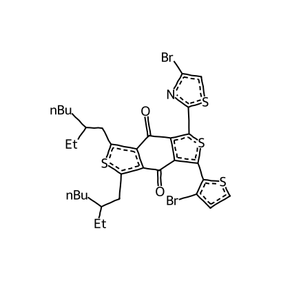 CCCCC(CC)Cc1sc(CC(CC)CCCC)c2c1C(=O)c1c(-c3nc(Br)cs3)sc(-c3sccc3Br)c1C2=O